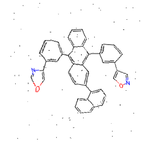 c1cc(-c2cnoc2)cc(-c2c3ccccc3c(-c3cccc(-c4cocn4)c3)c3ccc(-c4cccc5ccccc45)cc23)c1